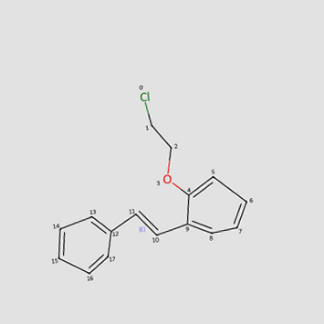 ClCCOc1ccccc1/C=C/c1ccccc1